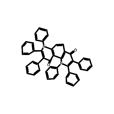 O=c1c(-c2ccccc2)c(-c2ccccc2)n(-c2ccccc2)c2c1ccc1c2c(=O)c(-c2ccccc2)c(-c2ccccc2)n1-c1ccccc1